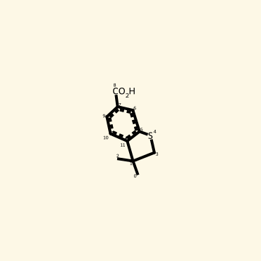 CC1(C)CSc2cc(C(=O)O)ccc21